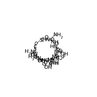 C[C@@]12CCCN1C(=O)[C@H](Cc1ccc(O)cc1)NC(=O)[C@H](Cc1c[nH]cn1)NC(=O)[C@H](CC(=O)O)NC(=O)[C@H](Cc1c[nH]c3ccc(F)cc13)NC(=O)[C@H](Cc1ccc(O)cc1)NC(=O)CNC(=O)[C@H](CCCCN)NC(=O)CCSCc1cccc(c1)CSC[C@H](C(N)=O)NC2=O